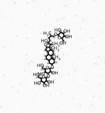 CC(CCC1(O)OC2CC3C4CCC5CC(OC6OC(CO)C(O)C(OC7OC(CO)C(O)C(O)C7O)C6O)CCC5(C)C4CCC3(C)C2C1C)COC1OC(CO)C(O)C(O)C1O